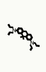 C=CCN(CC=C)c1ccc2c(c1)C(C)(C)c1cc(N(CC=C)CC=C)ccc1C2